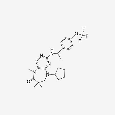 CC(Nc1ncc2c(n1)N(C1CCCC1)CC(C)(C)C(=O)N2C)c1ccc(OC(F)(F)F)cc1